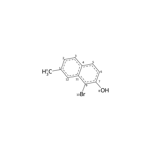 Cc1ccc2ccc(O)c(Br)c2c1